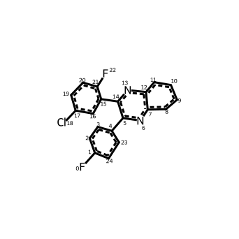 Fc1ccc(-c2nc3ccccc3nc2-c2cc(Cl)ccc2F)cc1